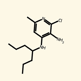 CCCC(CCC)Nc1cc(C)nc(Cl)c1N